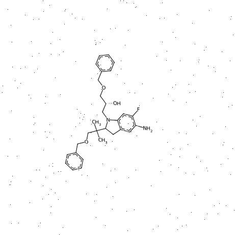 CC(C)(COCc1ccccc1)C1Cc2cc(N)c(F)cc2N1C[C@@H](O)COCc1ccccc1